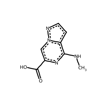 CNc1nc(C(=O)O)cn2nccc12